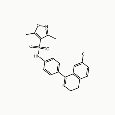 Cc1noc(C)c1S(=O)(=O)Nc1ccc(C2=NCCc3ccc(Cl)cc32)cc1